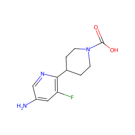 Nc1cnc(C2CCN(C(=O)O)CC2)c(F)c1